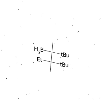 BC(C)(C(C)(C)C)C(C)(CC)C(C)(C)C